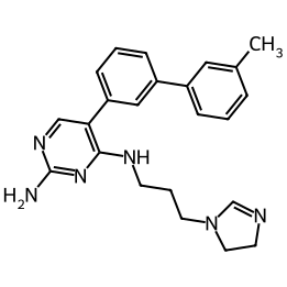 Cc1cccc(-c2cccc(-c3cnc(N)nc3NCCCN3C=NCC3)c2)c1